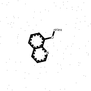 CCCCCCOc1cccc2cccnc12